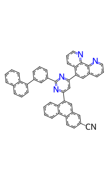 N#Cc1ccc2c(c1)cc(-c1cc(-c3cc4cccnc4c4ncccc34)nc(-c3cccc(-c4cccc5ccccc45)c3)n1)c1ccccc12